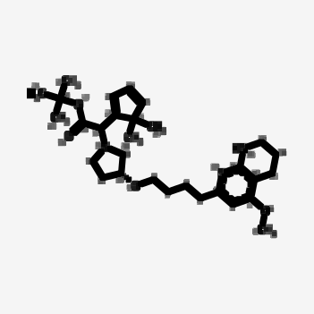 COc1cc(CCCCO[C@@H]2CCN(C(C(=O)OC(C)(C)C)C3=CC=CC3(C)C)C2)nc2c1CCCN2